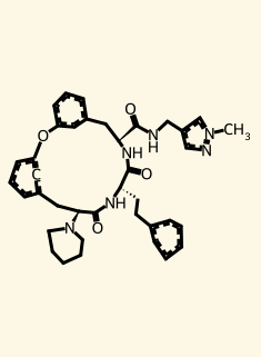 Cn1cc(CNC(=O)[C@@H]2Cc3cccc(c3)Oc3cccc(c3)C[C@H](N3CCCCC3)C(=O)N[C@@H](CCc3ccccc3)C(=O)N2)cn1